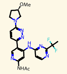 CO[C@@H]1CCN(c2ccc(-c3cnc(NC(C)=O)cc3Nc3ccnc(C(C)(F)F)n3)nn2)C1